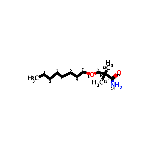 CCCCCCCCOCC(C)(C)C(N)=O